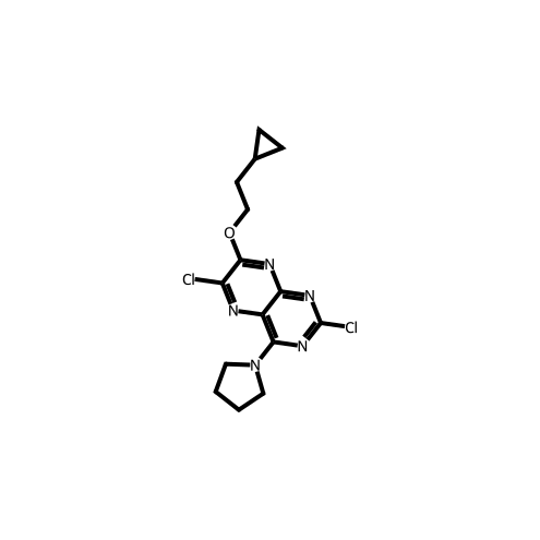 Clc1nc(N2CCCC2)c2nc(Cl)c(OCCC3CC3)nc2n1